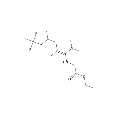 CCOC(=O)CN/C(=C(\C)CC(C)CC(C)(F)F)N(C)C